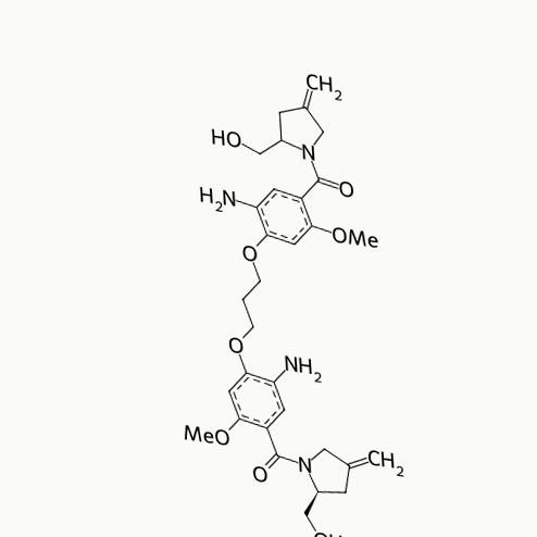 C=C1CC(CO)N(C(=O)c2cc(N)c(OCCCOc3cc(OC)c(C(=O)N4CC(=C)C[C@H]4CO)cc3N)cc2OC)C1